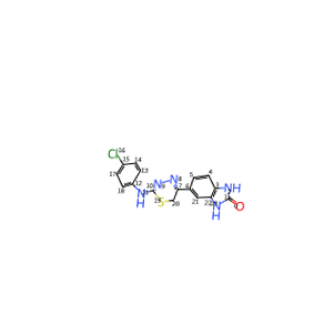 O=c1[nH]c2ccc(C3=NN=C(Nc4ccc(Cl)cc4)SC3)cc2[nH]1